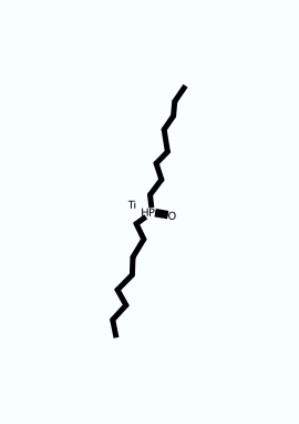 CCCCCCCC[PH](=O)CCCCCCCC.[Ti]